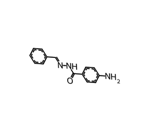 Nc1ccc(C(=O)NN=Cc2ccccc2)cc1